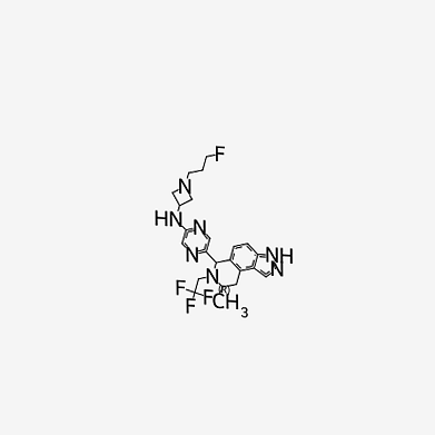 C[C@@H]1Cc2c(ccc3[nH]ncc23)C(c2cnc(NC3CN(CCCF)C3)cn2)N1CC(F)(F)F